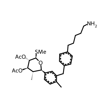 CS[C@H]1O[C@@H](c2ccc(C)c(Cc3ccc(CCCCCN)cc3)c2)[C@H](C)[C@@H](OC(C)=O)[C@@H]1OC(C)=O